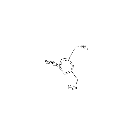 NCc1cccc(CN)c1.[Ge+2].[Sn+4]